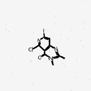 Cc1nc2cc(I)nc(Cl)c2c(=O)n1C